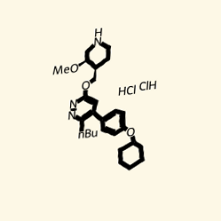 CCCCc1nnc(OC[C@@H]2CCNC[C@@H]2OC)cc1-c1ccc(OC2CCCCC2)cc1.Cl.Cl